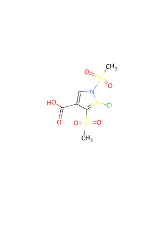 CS(=O)(=O)C1=S(Cl)N(S(C)(=O)=O)C=C1C(=O)O